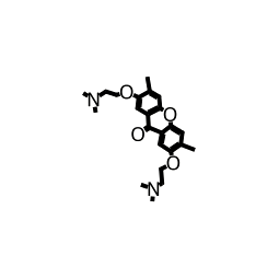 Cc1cc2oc3cc(C)c(OCCN(C)C)cc3c(=O)c2cc1OCCN(C)C